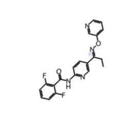 CC/C(=N\Oc1cccnc1)c1ccc(NC(=O)c2c(F)cccc2F)nc1